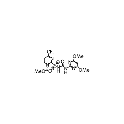 COC(=O)N1C=CC(C(F)(F)F)=NC1S(=O)(=O)NC(=O)Nc1nc(OC)cc(OC)n1